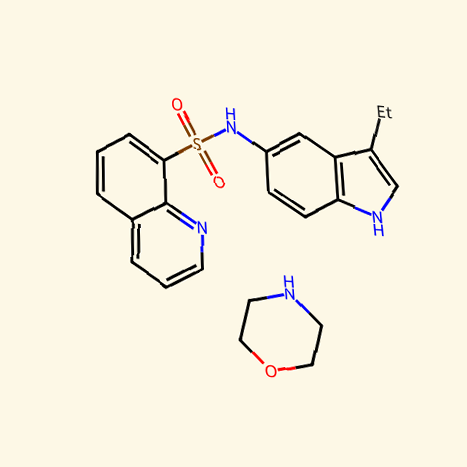 C1COCCN1.CCc1c[nH]c2ccc(NS(=O)(=O)c3cccc4cccnc34)cc12